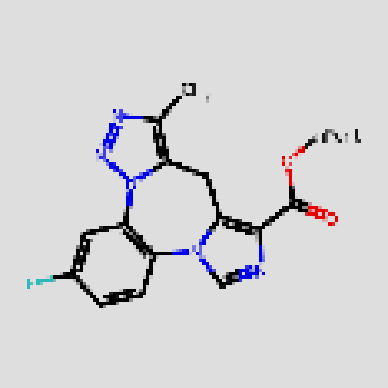 CCCCCOC(=O)c1ncn2c1Cc1c(C)nnn1-c1cc(F)ccc1-2